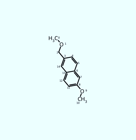 COCc1ccc2cc(OC)ccc2c1